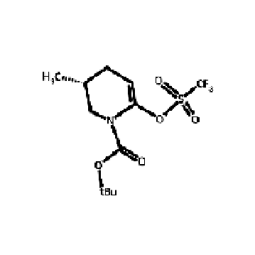 C[C@@H]1CC=C(OS(=O)(=O)C(F)(F)F)N(C(=O)OC(C)(C)C)C1